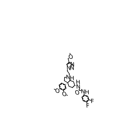 COCc1cn(CCN2CC[C@]3(c4ccc(OC)c(OC)c4)CC[C@@H](NC(=O)Nc4ccc(F)c(F)c4)C[C@H]23)nn1